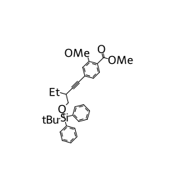 CCC(C#Cc1ccc(C(=O)OC)c(OC)c1)CO[Si](c1ccccc1)(c1ccccc1)C(C)(C)C